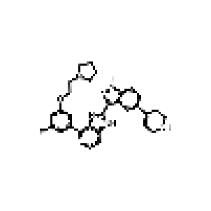 Fc1cc(OCCN2CCCC2)cc(-c2nccc3[nH]c(-c4n[nH]c5ccc(C6=CCNCC6)cc45)nc23)c1